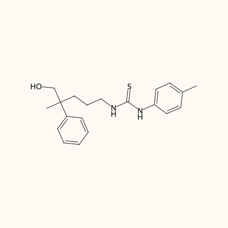 Cc1ccc(NC(=S)NCCCC(C)(CO)c2ccccc2)cc1